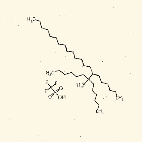 CCCCCCCCCCCCCCC(CCCCCC)C(P)(CCCCCC)CCCCCC.O=S(=O)(O)C(F)(F)F